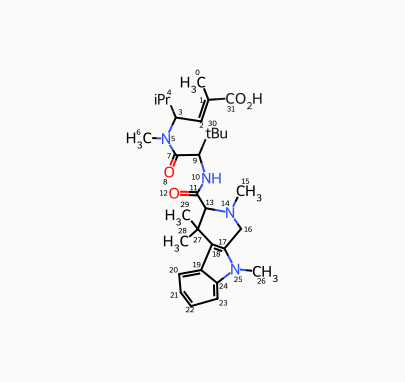 C/C(=C\C(C(C)C)N(C)C(=O)C(NC(=O)C1N(C)Cc2c(c3ccccc3n2C)C1(C)C)C(C)(C)C)C(=O)O